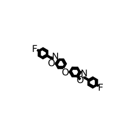 Fc1ccc(-c2nc3ccc(Oc4ccc5nc(-c6ccc(F)cc6)oc5c4)cc3o2)cc1